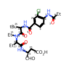 CCC(=O)Nc1ccc(C(=O)NC(C(=O)N(CC)C(CC)C(=O)N[C@H](C=O)CC(=O)O)C(C)(C)C)cc1Cl